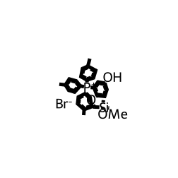 CO[Si](C)(C)COc1ccc(O)cc1[P+](c1ccc(C)cc1)(c1ccc(C)cc1)c1ccc(C)cc1.[Br-]